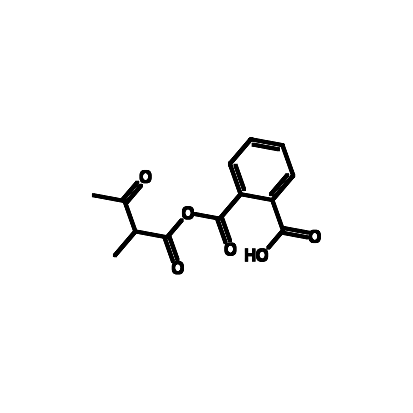 CC(=O)C(C)C(=O)OC(=O)c1ccccc1C(=O)O